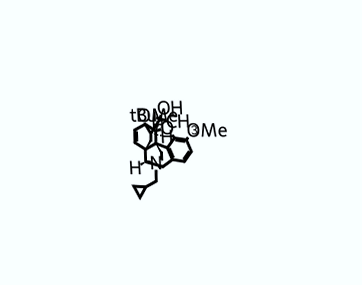 COc1ccc2c3c1O[C@H]1[C@@]4(OC)C=C[C@@]5(C[C@@H]4C(C)(O)C(C)(C)C)[C@@H](C2)N(CC2CC2)CC[C@]315